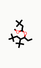 CCC(OC(CC(C)(C)C)OC)C(CC(C)(C)C)C(C)(C)C